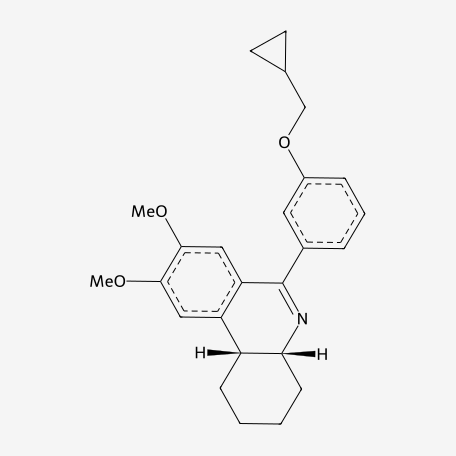 COc1cc2c(cc1OC)[C@H]1CCCC[C@H]1N=C2c1cccc(OCC2CC2)c1